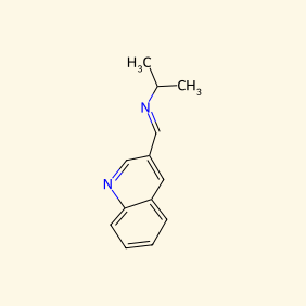 CC(C)/N=C/c1cnc2ccccc2c1